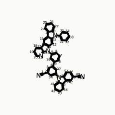 N#Cc1cc(-c2cccc(-n3c4cc5c(cc4c4cccnc43)c3ccccc3n5-c3ccccc3)c2)cc(-n2c3ccccc3c3cc(C#N)ccc32)c1